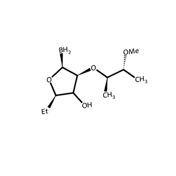 B[C@@H]1O[C@H](CC)C(O)[C@@H]1O[C@H](C)[C@@H](C)OC